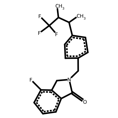 CC(c1ccc(CN2Cc3c(F)cccc3C2=O)cc1)C(C)C(F)(F)F